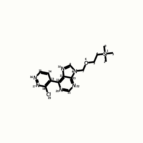 C[Si](C)(C)CCOCn1cnc2c(-c3ccnnc3Cl)ncnc21